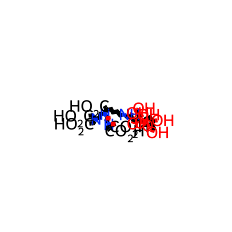 O=C(O)CN(CCN(CCN(CC(=O)O)CC(=O)O)C(CCCCNCC(O)C(O)C(OC1=CC=C(O)C(CO)O1)C(O)CO)C(=O)O)CC(=O)O